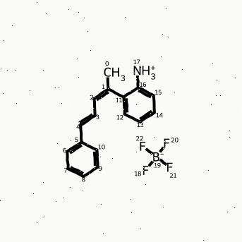 C/C(=C/C=C/c1ccccc1)c1ccccc1[NH3+].F[B-](F)(F)F